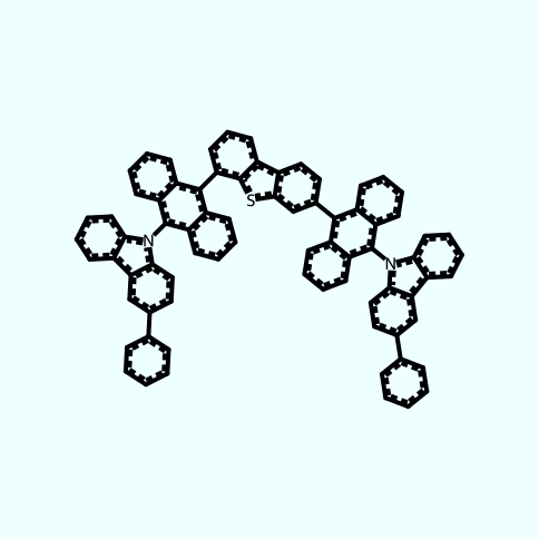 c1ccc(-c2ccc3c(c2)c2ccccc2n3-c2c3ccccc3c(-c3ccc4c(c3)sc3c(-c5c6ccccc6c(-n6c7ccccc7c7cc(-c8ccccc8)ccc76)c6ccccc56)cccc34)c3ccccc23)cc1